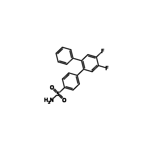 NS(=O)(=O)c1ccc(-c2cc(F)c(F)cc2-c2ccccc2)cc1